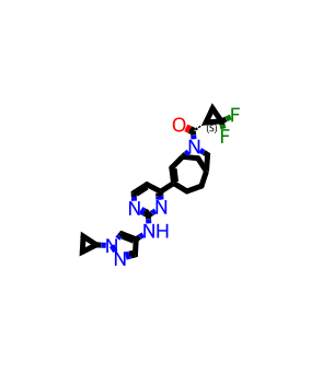 O=C([C@@H]1CC1(F)F)N1CC2CCC(c3ccnc(Nc4cnn(C5CC5)c4)n3)=CC1C2